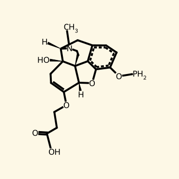 CN1CC[C@@]23c4c5ccc(OP)c4O[C@@H]2C(OCCC(=O)O)=CC[C@]3(O)[C@@H]1C5